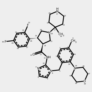 Cc1ccc(Cn2ccnc2NC(=O)[C@@H]2CN(C3(C)CCNCC3)C[C@H]2c2ccc(F)cc2F)c(N2CCOCC2)c1